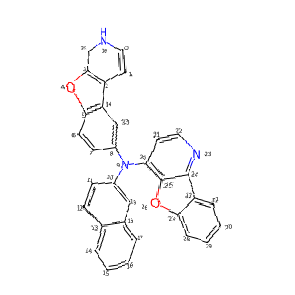 C1=Cc2c(oc3ccc(N(c4ccc5ccccc5c4)c4ccnc5c4oc4ccccc45)cc23)CN1